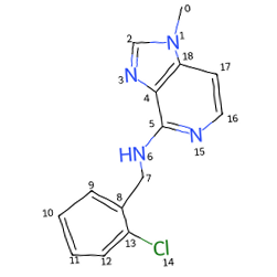 Cn1cnc2c(NCc3ccccc3Cl)nccc21